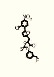 O=C1/C(=C/c2ccc(-c3ccc([N+](=O)[O-])cc3Cl)o2)SC(=S)N1c1cccc(CF)c1